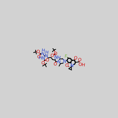 COc1c(N2CCN(C(=O)C(CCCNC(NC(=O)OC(C)(C)C)NC(=O)OC(C)(C)C)NC(=O)OC(C)(C)C)C(C)C2)c(F)cc2c(=O)c(C(=O)O)cn(C3CC3)c12